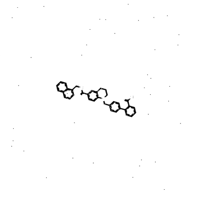 C[C@H](NC(=O)c1ccc2c(c1)CCCN2Cc1ccc(-c2ccccc2C(N)=O)cc1)c1cccc2ccccc12